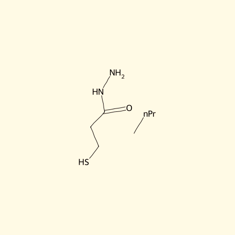 CCCC.NNC(=O)CCS